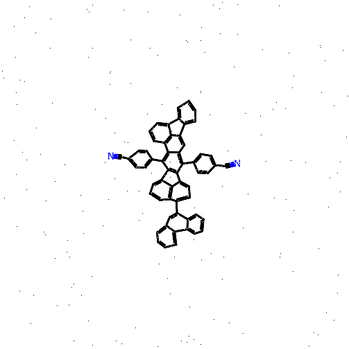 N#Cc1ccc(-c2c3cc4c5ccccc5c5cccc(c3c(-c3ccc(C#N)cc3)c3c6cccc7c(-c8cc9ccccc9c9ccccc89)ccc(c23)c76)c54)cc1